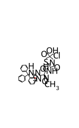 CON=C(C(=O)N[C@@H]1C(=O)N2CC(CCl)(C(=O)O)CS[C@H]12)c1nsc(NC(c2ccccc2)(c2ccccc2)c2ccccc2)n1